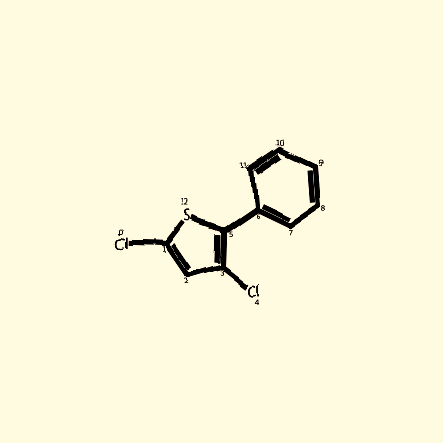 Clc1cc(Cl)c(-c2ccccc2)s1